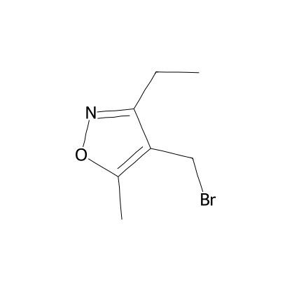 CCc1noc(C)c1CBr